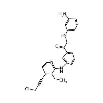 CCc1c(C#CCCl)ccnc1Nc1cccc(C(=O)CNc2cccc(N)c2)c1